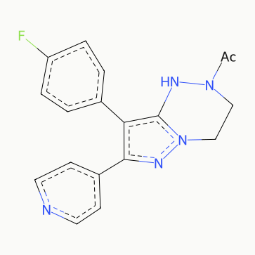 CC(=O)N1CCn2nc(-c3ccncc3)c(-c3ccc(F)cc3)c2N1